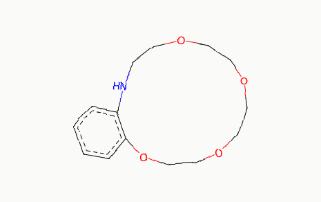 c1ccc2c(c1)NCCOCCOCCOCCO2